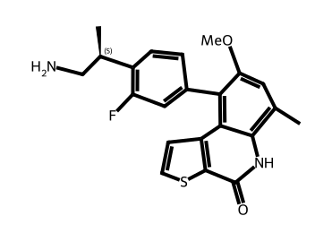 COc1cc(C)c2[nH]c(=O)c3sccc3c2c1-c1ccc([C@H](C)CN)c(F)c1